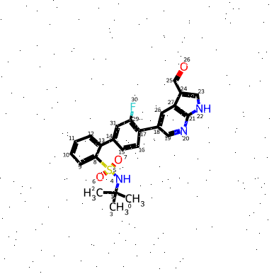 CC(C)(C)NS(=O)(=O)c1ccccc1-c1ccc(-c2cnc3[nH]cc(C=O)c3c2)c(F)c1